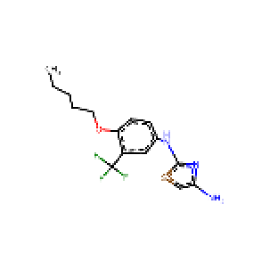 CCCCCOc1ccc(Nc2nc(N)cs2)cc1C(F)(F)F